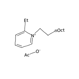 CC(=O)[O-].CCCCCCCCCC[n+]1ccccc1CC